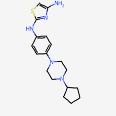 Nc1[c]sc(Nc2ccc(N3CCN(C4CCCC4)CC3)cc2)n1